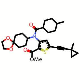 COC(=O)c1sc(C#CC2(C)CC2)cc1N(C(=O)C1CCC(C)CC1)C1CCC2(CC1)OCCO2